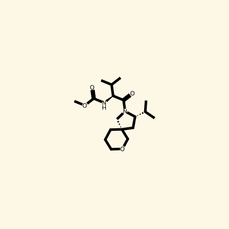 COC(=O)N[C@H](C(=O)N1C[C@]2(CCCOC2)C[C@H]1C(C)C)C(C)C